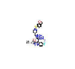 CC(C)COC(=O)c1[nH]c2ccc(F)cc2c1/C(N)=C/N(N)CC1CCN(Sc2ccc3c(c2)OCC3)CC1